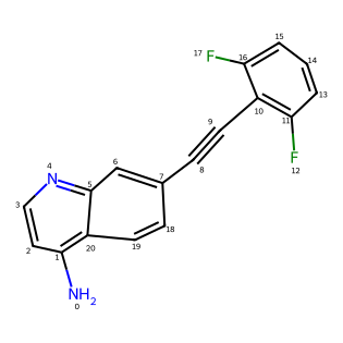 Nc1ccnc2cc(C#Cc3c(F)cccc3F)ccc12